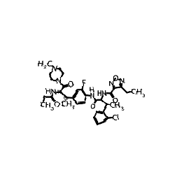 CCC(=O)N[C@@H](C(=O)N1CCN(C)CC1)[C@@H](C)c1ccc(NC(=O)C(NC(=O)c2nonc2CC)C(C)c2ccccc2Cl)c(F)c1